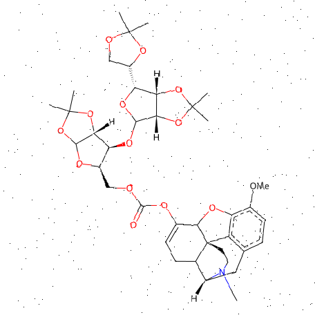 COc1ccc2c3c1OC1C(OC(=O)OC[C@H]4OC5OC(C)(C)O[C@@H]5[C@H]4OC4O[C@H](C5COC(C)(C)O5)[C@@H]5OC(C)(C)O[C@H]45)=CCC4[C@@H](C2)N(C)CC[C@]314